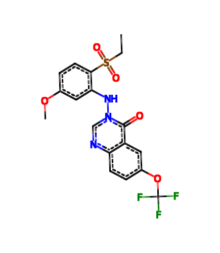 CCS(=O)(=O)c1ccc(OC)cc1Nn1cnc2ccc(OC(F)(F)F)cc2c1=O